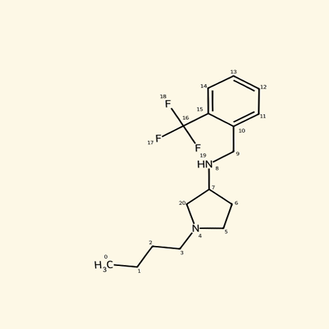 CCCCN1CCC(NCc2ccccc2C(F)(F)F)C1